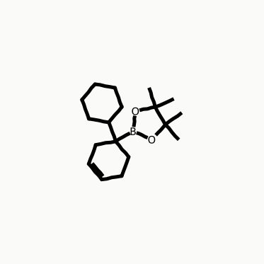 CC1(C)OB(C2(C3CCCCC3)CC=CCC2)OC1(C)C